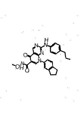 CCCc1ccc(Nc2ncc3c(=O)c(C(=O)NOC)cn(-c4ccc5c(c4)CCC5)c3n2)cc1